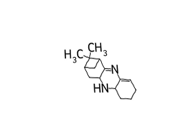 CC1(C)C2CC3NC4CCCC=C4N=C3C1C2